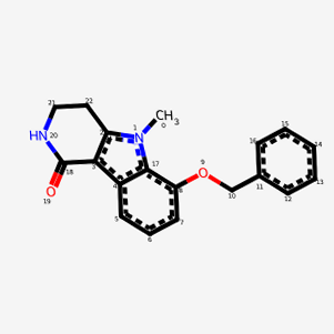 Cn1c2c(c3cccc(OCc4ccccc4)c31)C(=O)NCC2